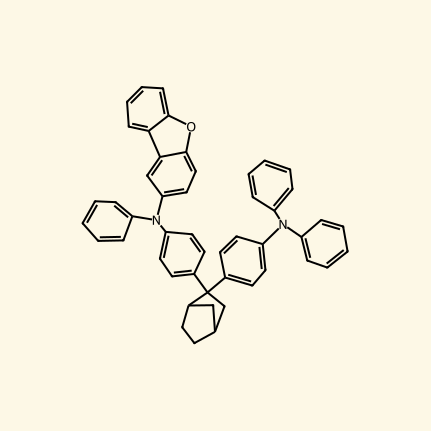 c1ccc(N(c2ccccc2)c2ccc(C3(c4ccc(N(c5ccccc5)c5ccc6oc7ccccc7c6c5)cc4)CC4CCC3C4)cc2)cc1